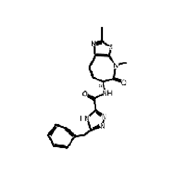 Cc1nc2c(s1)N(C)C(=O)[C@@H](NC(=O)c1nnc(Cc3ccccc3)[nH]1)CC2